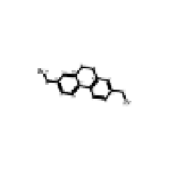 BrCc1ccc2c(c1)CCc1cc(CBr)ccc1-2